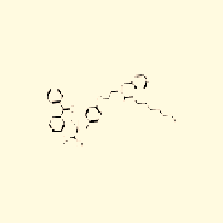 CCCCCCCCC(=O)N(CCOc1ccc(C[C@H](Nc2ccccc2C(=O)c2ccccc2)C(=O)OC)cc1)Cc1ccccc1